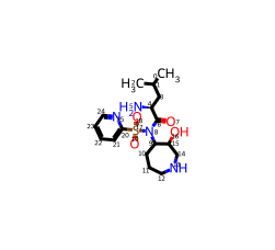 CC(C)C[C@H](N)C(=O)N(C1CCCNCC1O)S(=O)(=O)c1ccccn1